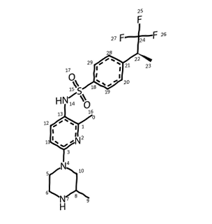 Cc1nc(N2CCNC(C)C2)ccc1NS(=O)(=O)c1ccc([C@H](C)C(F)(F)F)cc1